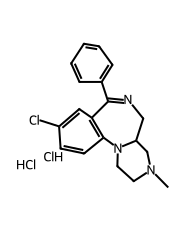 CN1CCN2c3ccc(Cl)cc3C(c3ccccc3)=NCC2C1.Cl.Cl